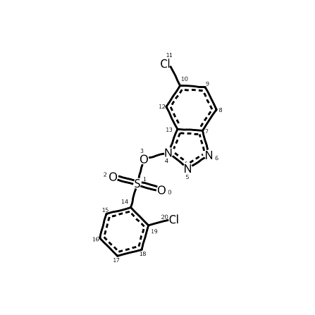 O=S(=O)(On1nnc2ccc(Cl)cc21)c1ccccc1Cl